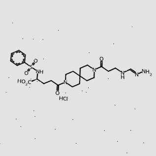 Cl.NN=CNCCC(=O)N1CCC2(CC1)CCN(C(=O)CC[C@H](NS(=O)(=O)c1ccccc1)C(=O)O)CC2